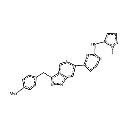 CSc1ccc(Cc2nnc3cc(-c4ccnc(Nc5ccnn5C)n4)ncn23)cc1